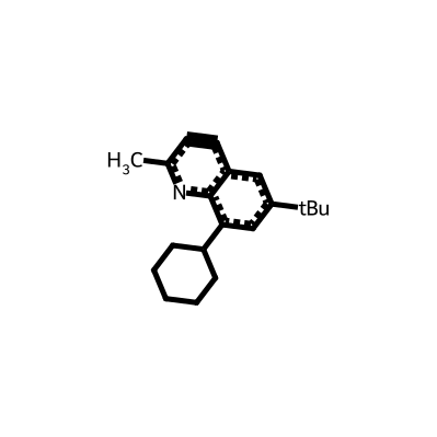 Cc1c#cc2cc(C(C)(C)C)cc(C3CCCCC3)c2n1